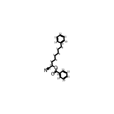 N#CC(CCCCCCc1ccccc1)OC(=O)c1ccccc1